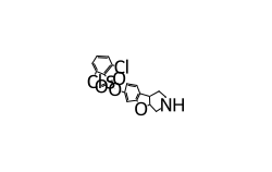 O=S(=O)(Oc1ccc2c(c1)OC1CNCCC21)c1c(Cl)cccc1Cl